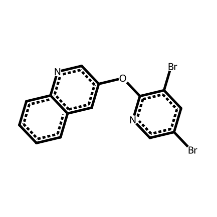 Brc1cnc(Oc2cnc3ccccc3c2)c(Br)c1